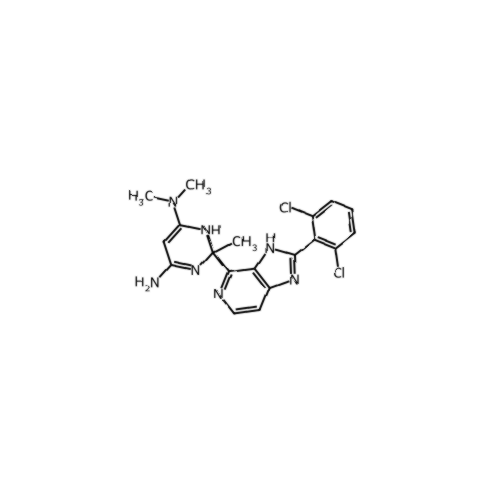 CN(C)C1=CC(N)=NC(C)(c2nccc3nc(-c4c(Cl)cccc4Cl)[nH]c23)N1